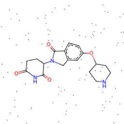 O=C1CCC(N2Cc3cc(OC4CCNCC4)ccc3C2=O)C(=O)N1